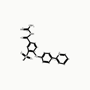 CS(=O)(=O)c1cc(C(=O)NC(=N)N)ccc1Oc1ccc(-c2ccccn2)cc1